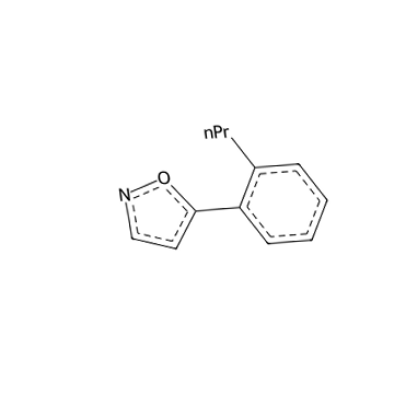 CCCc1ccccc1-c1ccno1